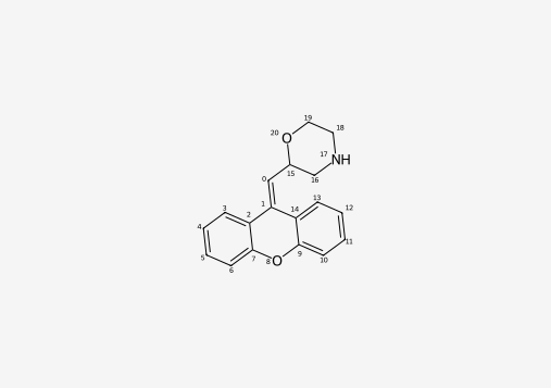 C(=C1c2ccccc2Oc2ccccc21)C1CNCCO1